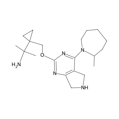 CC1CCCCCN1c1nc(OCC2(C(C)(C)N)CC2)nc2c1CNC2